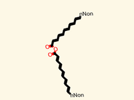 CCCCCCCCCC=CC=CC=CC=CC=CC(=O)OC(=O)C=CC=CC=CC=CC=CCCCCCCCCC